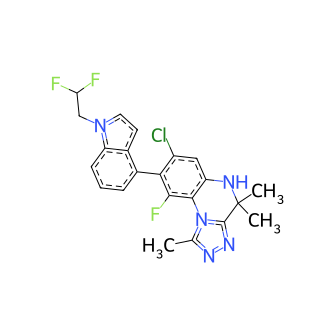 Cc1nnc2n1-c1c(cc(Cl)c(-c3cccc4c3ccn4CC(F)F)c1F)NC2(C)C